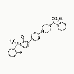 CCOC(=O)C(c1ccccc1)N1CCN(c2ccc(-n3ccn([C@@H](C)c4ccccc4F)c3=O)cc2)CC1